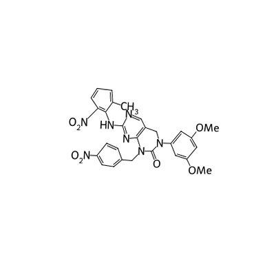 COc1cc(OC)cc(N2Cc3cnc(Nc4c(C)cccc4[N+](=O)[O-])nc3N(Cc3ccc([N+](=O)[O-])cc3)C2=O)c1